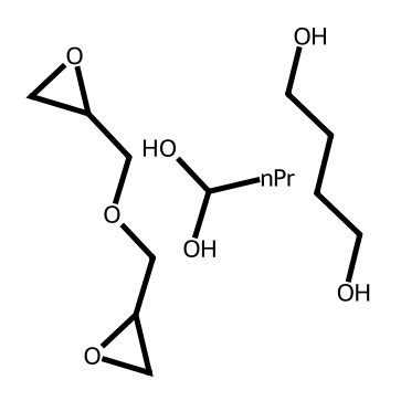 C(OCC1CO1)C1CO1.CCCC(O)O.OCCCCO